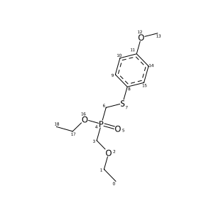 CCOCP(=O)(CSc1ccc(OC)cc1)OCC